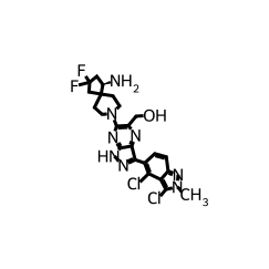 Cn1nc2ccc(-c3n[nH]c4nc(N5CCC6(CC5)CC(F)(F)C[C@H]6N)c(CO)nc34)c(Cl)c2c1Cl